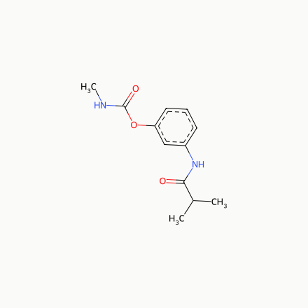 CNC(=O)Oc1cccc(NC(=O)C(C)C)c1